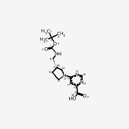 CC(C)(C)OC(=O)NC[C@H]1CCN(c2cc(C(=O)O)ncn2)C1